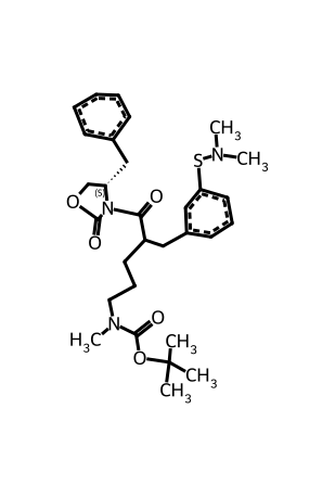 CN(C)Sc1cccc(CC(CCCN(C)C(=O)OC(C)(C)C)C(=O)N2C(=O)OC[C@@H]2Cc2ccccc2)c1